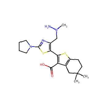 CN(N)Cc1nc(N2CCCC2)sc1-c1sc2c(c1C(=O)O)CC(C)(C)CC2